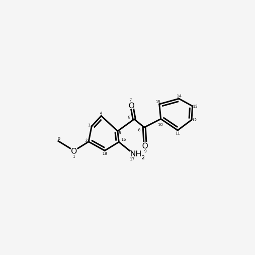 COc1ccc(C(=O)C(=O)c2ccccc2)c(N)c1